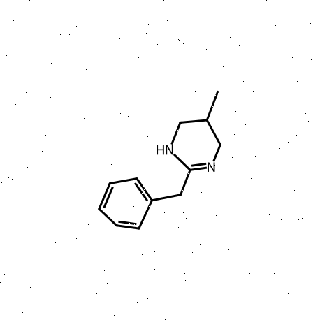 CC1CN=C(Cc2ccccc2)NC1